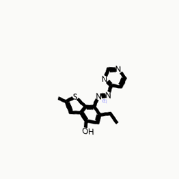 CCc1cc(O)c2cc(C)sc2c1/N=N/c1ccncn1